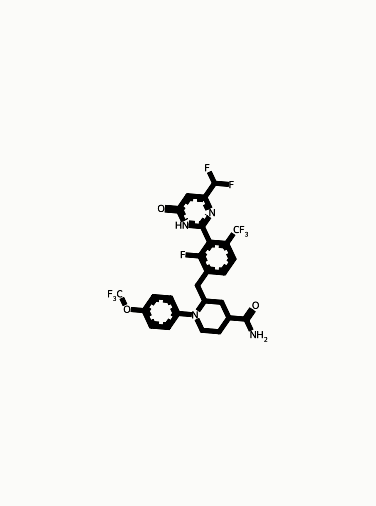 NC(=O)C1CCN(c2ccc(OC(F)(F)F)cc2)C(Cc2ccc(C(F)(F)F)c(-c3nc(C(F)F)cc(=O)[nH]3)c2F)C1